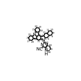 N#Cc1nc(-n2c3cc4ccccc4cc3c3c4c5ccccc5n5c6ccccc6c(cc32)c45)nc2c1NCC=C2